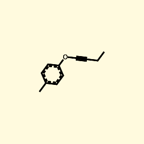 CCC#COc1ccc(C)cc1